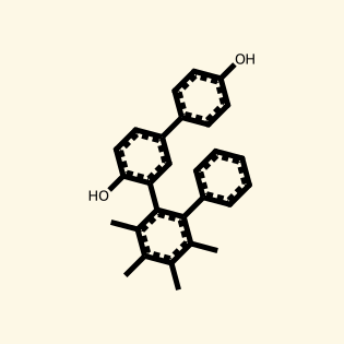 Cc1c(C)c(C)c(-c2cc(-c3ccc(O)cc3)ccc2O)c(-c2ccccc2)c1C